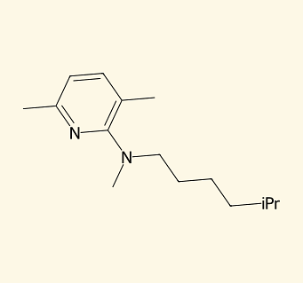 Cc1ccc(C)c(N(C)CCCCC(C)C)n1